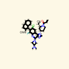 C=CC(=O)N1CC[C@H](n2cnc3c(N4CC(N(C)C)C4)nc4c(F)c(-c5c(OC)ccc6ccccc56)c(Cl)cc4c32)C[C@H]1CC#N